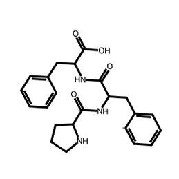 O=C(O)C(Cc1ccccc1)NC(=O)C(Cc1[c]cccc1)NC(=O)C1CCCN1